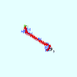 Cc1ccc(C(=O)Nc2ccc(CN3CCN(C)CC3)c(C(F)(F)F)c2)cc1C#Cc1cnc2cc(OCCOCCOCCOCCOCCOCCOCCNC(=O)CCOCCOCCOCCOCCOCCOCCNC(=O)C3CCN(c4ncc(C(=O)Nc5ccc(OC(F)(F)Cl)cc5)cc4-c4ccn[nH]4)CC3)ccn12